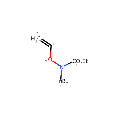 C=CON(CCCC)C(=O)OCC